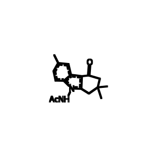 CC(=O)Nn1c2c(c3cc(C)ccc31)C(=O)CC(C)(C)C2